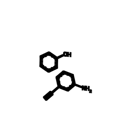 C#Cc1cccc(N)c1.Oc1ccccc1